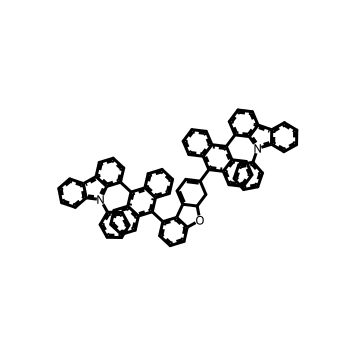 C1=C(c2c3ccccc3c(-c3cccc4c5ccccc5n(-c5ccccc5)c34)c3ccccc23)CC2Oc3cccc(-c4c5ccccc5c(-c5cccc6c7ccccc7n(-c7ccccc7)c56)c5ccccc45)c3C2=C1